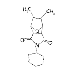 CC1C(C)C2OC1C1C(=O)N(C3CCCCC3)C(=O)C21